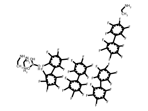 CCN.CCN.CCN.Fc1c(F)c(F)c(-c2c(F)c(F)c(F)c(F)c2F)c(F)c1F.Fc1c(F)c(F)c(-c2c(F)c(F)c(F)c(F)c2F)c(F)c1F.Fc1c(F)c(F)c(-c2c(F)c(F)c(F)c(F)c2F)c(F)c1F.Fc1c(F)c(F)c(-c2c(F)c(F)c(F)c(F)c2F)c(F)c1F.OB(O)O